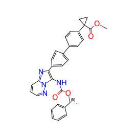 COC(=O)C1(c2ccc(-c3ccc(-c4nc5cccnn5c4NC(=O)O[C@H](C)c4ccccc4)cc3)cc2)CC1